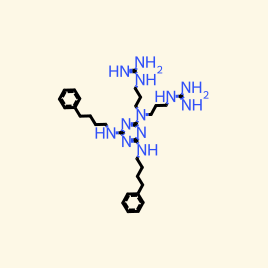 N=C(N)NCCCN(CCCNC(=N)N)c1nc(NCCCCc2ccccc2)nc(NCCCCc2ccccc2)n1